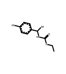 CCOC(=O)NC(S)c1ccc(S)cc1